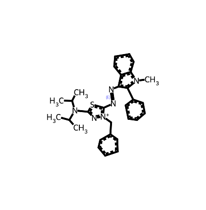 CC(C)N(c1n[n+](Cc2ccccc2)c(/N=N/c2c(-c3ccccc3)n(C)c3ccccc23)s1)C(C)C